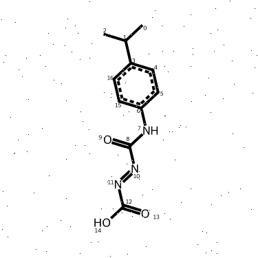 CC(C)c1ccc(NC(=O)N=NC(=O)O)cc1